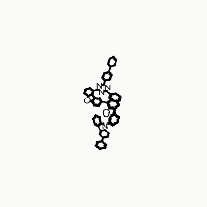 C1=CCC(c2ccc(-c3nc(-c4ccccc4)nc(-c4cccc5oc6ccc(-c7cccc8c7oc7c(N9c%10ccccc%10C%10=CC(c%11ccccc%11)=CCC%109)cccc78)cc6c45)n3)cc2)C=C1